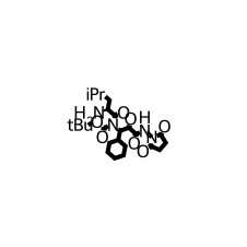 CC(C)C[C@H](N)C(=O)N(C(=O)OC(C)(C)C)C(C(=O)C(=O)NN1C(=O)CCC1=O)C1CCCCC1